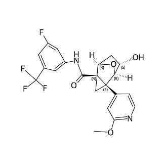 COc1cc([C@@]23C[C@]2(C(=O)Nc2cc(F)cc(C(F)(F)F)c2)[C@H]2C[C@H](O)[C@@H]3O2)ccn1